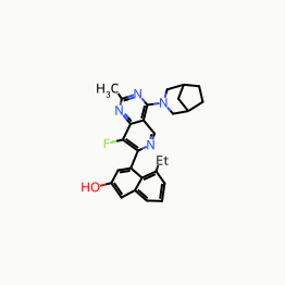 CCc1cccc2cc(O)cc(-c3ncc4c(N5CC6CCC(C6)C5)nc(C)nc4c3F)c12